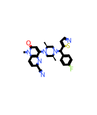 C[C@H]1CN(C(c2ccc(F)cc2)c2ccns2)[C@@H](C)CN1c1cc(=O)n(C)c2ccc(C#N)nc12